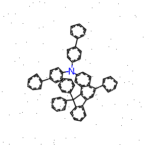 c1ccc(-c2ccc(N(c3ccc(-c4ccccc4)cc3)c3ccc4c(-c5ccccc5)cc5c(c4c3)C(c3ccccc3)(c3ccccc3)c3ccccc3-5)cc2)cc1